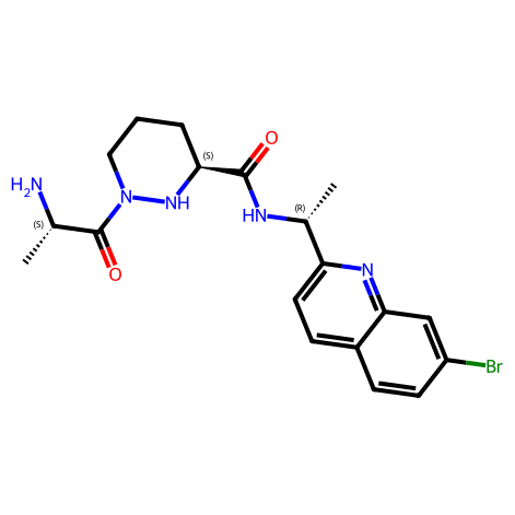 C[C@H](N)C(=O)N1CCC[C@@H](C(=O)N[C@H](C)c2ccc3ccc(Br)cc3n2)N1